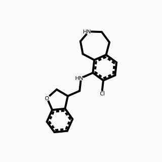 Clc1ccc2c(c1NCC1COc3ccccc31)CCNCC2